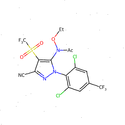 CCON(C(C)=O)c1c(S(=O)(=O)C(F)(F)F)c(C#N)nn1-c1c(Cl)cc(C(F)(F)F)cc1Cl